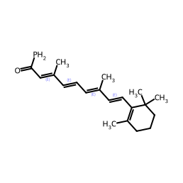 CC1=C(/C=C/C(C)=C/C=C/C(C)=C/C(=O)P)C(C)(C)CCC1